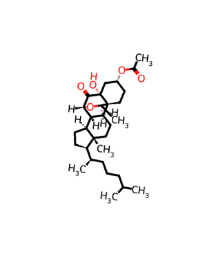 CC(=O)O[C@@H]1CC[C@@]23[C@@H](C)O[C@@H](C(=O)[C@@]2(O)C1)[C@H]1[C@@H]2CC[C@H]([C@H](C)CCCC(C)C)[C@@]2(C)CC[C@@H]13